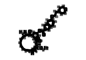 CCOC(=O)[C@@]12C[C@H]1/C=C\CCCCC[C@H](N)C(=O)N1C[C@H](OC(=O)N3Cc4ccc(OCCN5CCOCC5)cc4C3)C[C@H]1C(=O)N2